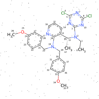 CCN(c1nc(Cl)nc(Cl)n1)[C@H](C)c1cccnc1N(Cc1ccc(OC)cc1)Cc1ccc(OC)cc1